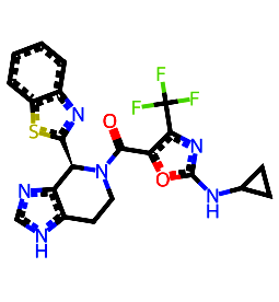 O=C(c1oc(NC2CC2)nc1C(F)(F)F)N1CCc2[nH]cnc2[C@H]1c1nc2ccccc2s1